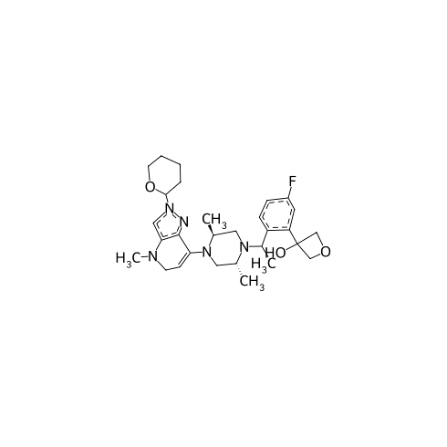 CC(c1ccc(F)cc1C1(O)COC1)N1C[C@H](C)N(C2=CCN(C)c3cn(C4CCCCO4)nc32)C[C@H]1C